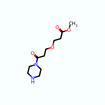 COC(=O)CCOCCC(=O)N1CCNCC1